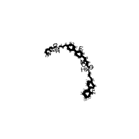 O=C(NCCCc1ccc(-c2ccc(Cc3cc(C(=O)NCCCc4ccc(-c5ccccc5F)cc4)on3)cc2F)cc1)c1cc2cccnc2[nH]1